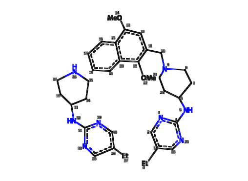 CCc1cnc(NC2CCN(Cc3cc(OC)c4ccccc4c3OC)CC2)nc1.CCc1cnc(NC2CCNCC2)nc1